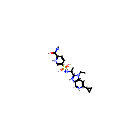 CCn1c(C(C)NS(=O)(=O)c2ccc(C(N)=O)nc2)nc2cnc(C3CC3)cc21